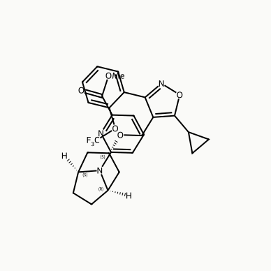 COC(=O)c1cccc(N2[C@@H]3CC[C@H]2C[C@H](OCc2c(-c4ccccc4OC(F)(F)F)noc2C2CC2)C3)n1